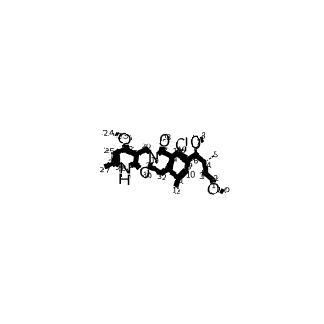 COCC[C@@H](C)[C@H](OC)c1cc(C)c2c(c1Cl)C(=O)N(Cc1c(OC)cc(C)[nH]c1=O)CC2